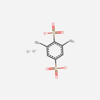 CC(C)(C)c1cc(S(=O)(=O)[O-])cc(C(C)(C)C)c1S(=O)(=O)[O-].[Li+].[Li+]